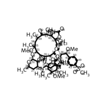 CC[C@H]1OC(=O)[C@H](C)[C@@H](O[C@H]2C[C@@](C)(OC)[C@@H](C)[C@H](C)O2)[C@H](C)[C@@H](O[C@@H]2O[C@H](C)C[C@H](N(C)CCc3cn([C@H](CF)[C@H](OC)c4ccc(S(C)(=O)=O)cc4)nn3)[C@H]2O)[C@](C)(OC)C[C@@H](C)C(=O)[C@H](C)[C@H]2NC(=O)O[C@@]21C